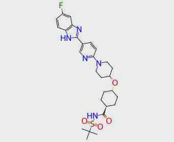 CC(C)(C)S(=O)(=O)NC(=O)[C@H]1CC[C@H](OC2CCN(c3ccc(-c4nc5cc(F)ccc5[nH]4)cn3)CC2)CC1